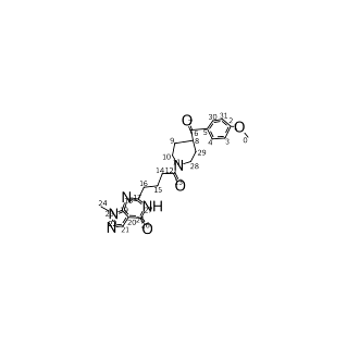 COc1ccc(C(=O)C2CCN(C(=O)CCCc3nc4c(cnn4C)c(=O)[nH]3)CC2)cc1